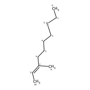 C[CH]SCCCC/C(C)=C/C